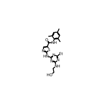 CCc1nc(NCCO)nc(Nc2ncc(C(=O)Nc3c(C)cc(C)cc3C)s2)n1